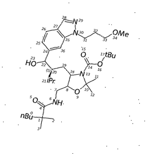 CCCCC(C)(C)C(=O)NCC1OC(C)(C)N(C(=O)OC(C)(C)C)C1C[C@@H](C(C)C)C(O)c1ccc2cnn(CCCOC)c2c1